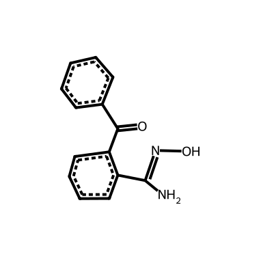 NC(=NO)c1ccccc1C(=O)c1ccccc1